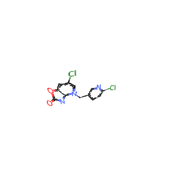 O=c1nc2n(Cc3ccc(Cl)nc3)cc(Cl)cc-2o1